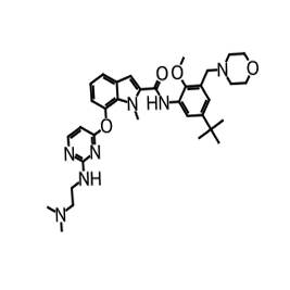 COc1c(CN2CCOCC2)cc(C(C)(C)C)cc1NC(=O)c1cc2cccc(Oc3ccnc(NCCN(C)C)n3)c2n1C